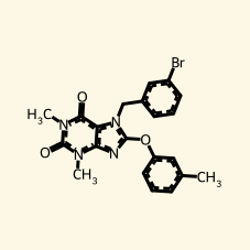 Cc1cccc(Oc2nc3c(c(=O)n(C)c(=O)n3C)n2Cc2cccc(Br)c2)c1